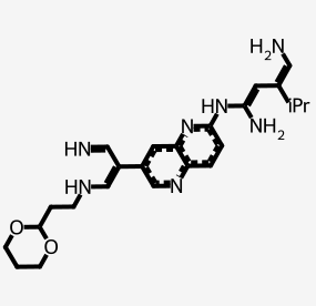 CC(C)C(=C/N)/C=C(\N)Nc1ccc2ncc(/C(C=N)=C/NCCC3OCCCO3)cc2n1